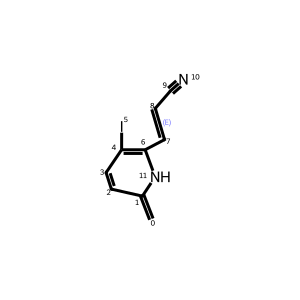 C=C1C=CC(I)=C(/C=C/C#N)N1